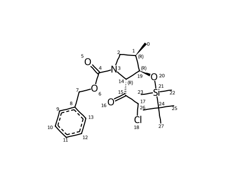 C[C@@H]1CN(C(=O)OCc2ccccc2)[C@@H](C(=O)CCl)[C@@H]1O[Si](C)(C)C(C)(C)C